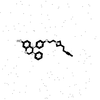 CC#CCCC1CN(CCOc2ccc([C@@H]3c4ccc(O)cc4OC[C@@H]3c3ccccc3)cc2)C1